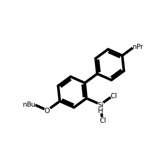 CCCCOc1ccc(-c2ccc(CCC)cc2)c([SiH](Cl)Cl)c1